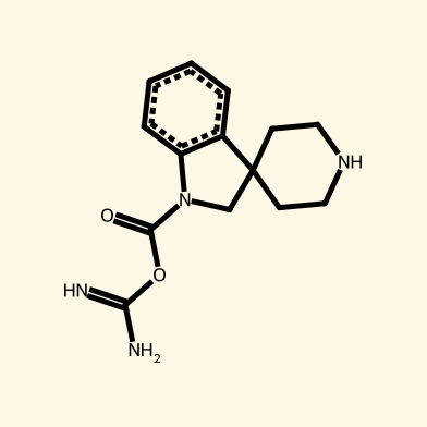 N=C(N)OC(=O)N1CC2(CCNCC2)c2ccccc21